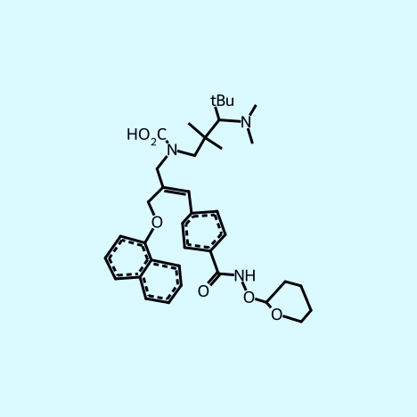 CN(C)C(C(C)(C)C)C(C)(C)CN(CC(=Cc1ccc(C(=O)NOC2CCCCO2)cc1)COc1cccc2ccccc12)C(=O)O